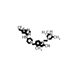 Cc1c(CN2CCC(Nc3ncnc4sc(CC(F)(F)F)cc34)CC2)ccc2c1cc(C#N)n2CCN1CC(C)NC(C)C1